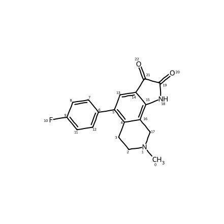 CN1CCc2c(-c3ccc(F)cc3)cc3c(c2C1)NC(=O)C3=O